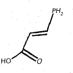 O=C(O)C=CP